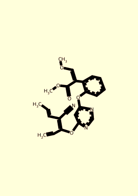 C=CC(Oc1cc(Oc2ccccc2C(=COC)C(=O)OC)ncn1)=C(C#N)C=CC